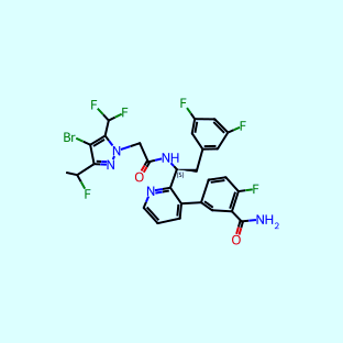 CC(F)c1nn(CC(=O)N[C@@H](Cc2cc(F)cc(F)c2)c2ncccc2-c2ccc(F)c(C(N)=O)c2)c(C(F)F)c1Br